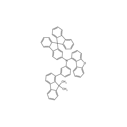 CC1(C)c2ccccc2-c2cccc(-c3cccc(N(c4ccc5c(c4)C4(c6ccccc6-c6ccccc64)c4ccccc4-5)c4cccc5oc6ccccc6c45)c3)c21